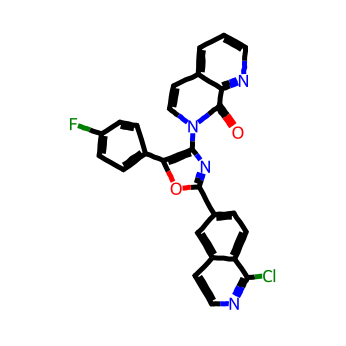 O=c1c2ncccc2ccn1-c1nc(-c2ccc3c(Cl)nccc3c2)oc1-c1ccc(F)cc1